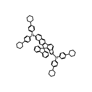 c1ccc2c(c1)-c1ccccc1C21c2cc3cc(N(c4ccc(C5CCCCC5)cc4)c4ccc(C5CCCCC5)cc4)ccc3cc2-c2ccc3cc(N(c4ccc(C5CCCCC5)cc4)c4ccc(C5CCCCC5)cc4)ccc3c21